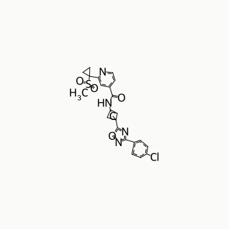 CS(=O)(=O)C1(c2cc(C(=O)NC34CC(c5nc(-c6ccc(Cl)cc6)no5)(C3)C4)ccn2)CC1